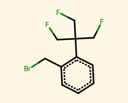 FCC(CF)(CF)c1ccccc1CBr